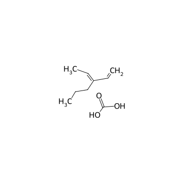 C=CC(=CC)CCC.O=C(O)O